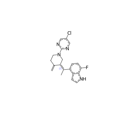 C=C1CCN(c2ncc(Cl)cn2)C/C1=C(/C)c1ccc(F)c2[nH]ccc12